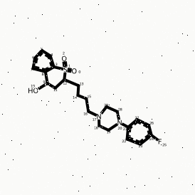 O=S1(=O)c2ccccc2C(O)CC1CCCCN1CCN(c2ccc(F)cc2)CC1